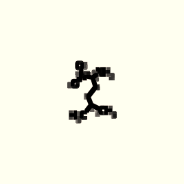 CC(C)CCC(N)[N+](=O)[O-]